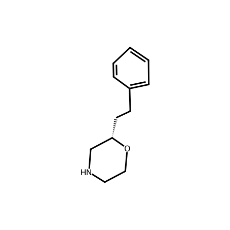 c1ccc(CC[C@H]2CNCCO2)cc1